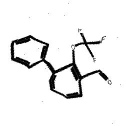 O=Cc1cccc(-c2ccccc2)c1OC(F)(F)F